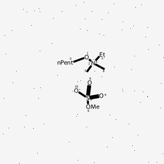 CCCCCO[N+](C)(C)CC.COS(=O)(=O)[O-]